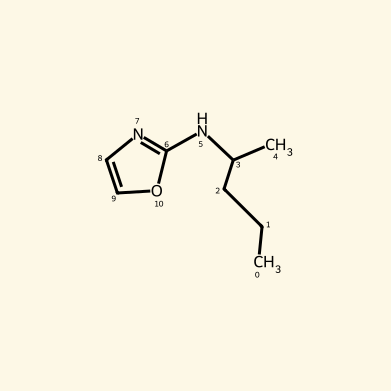 CCCC(C)Nc1ncco1